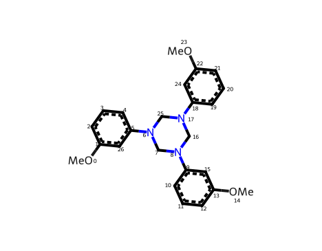 COc1cccc(N2CN(c3cccc(OC)c3)CN(c3cccc(OC)c3)C2)c1